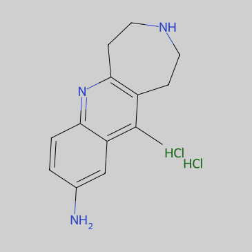 Cc1c2c(nc3ccc(N)cc13)CCNCC2.Cl.Cl